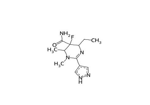 CCC1N=C(c2cn[nH]c2)N(C)C(C)C1(F)C(N)=O